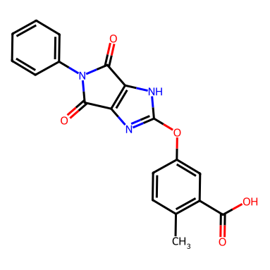 Cc1ccc(Oc2nc3c([nH]2)C(=O)N(c2ccccc2)C3=O)cc1C(=O)O